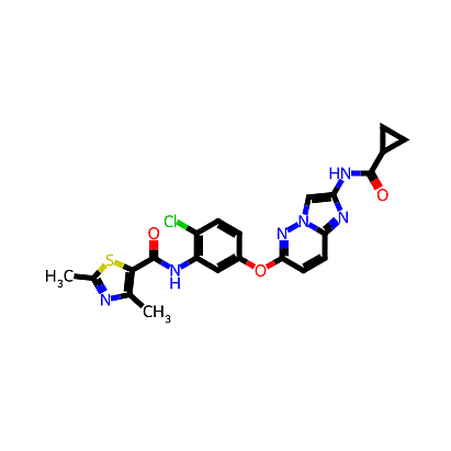 Cc1nc(C)c(C(=O)Nc2cc(Oc3ccc4nc(NC(=O)C5CC5)cn4n3)ccc2Cl)s1